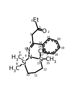 CCC(=O)CC(=NN1[Si](C)(C)CCC[Si]1(C)C)c1ccccc1